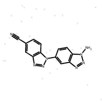 N#Cc1ccc2c(c1)nnn2-c1ccc2c(c1)nnn2N